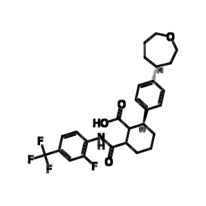 O=C(Nc1ccc(C(F)(F)F)cc1F)C1CCC[C@H](c2ccc([C@@H]3CCCOCC3)cc2)C1C(=O)O